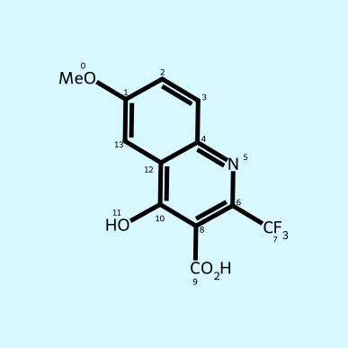 COc1ccc2nc(C(F)(F)F)c(C(=O)O)c(O)c2c1